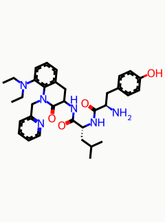 CCN(CC)c1cccc2c1N(Cc1ccccn1)C(=O)C(NC(=O)[C@@H](CC(C)C)NC(=O)[C@H](N)Cc1ccc(O)cc1)C2